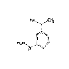 CC(O)c1ccnc(NN)c1